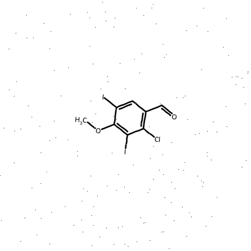 COc1c(I)cc(C=O)c(Cl)c1I